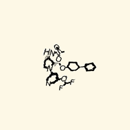 CS(=O)(=O)N[C@H]1CCN(c2cncc(OC(F)F)c2)[C@H]1CO[C@H]1CC[C@@H](c2ccccc2)CC1